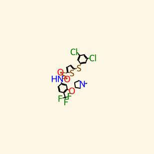 CN1CCC(Oc2cc(NS(=O)(=O)c3ccc(Sc4cc(Cl)cc(Cl)c4)s3)ccc2C(F)(F)F)C1